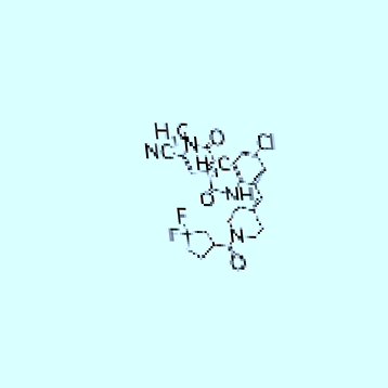 Cc1cc(Cl)cc(C=C2CCN(C(=O)C3CCC(F)(F)C3)CC2)c1NC(=O)c1cc(C#N)n(C)c(=O)c1